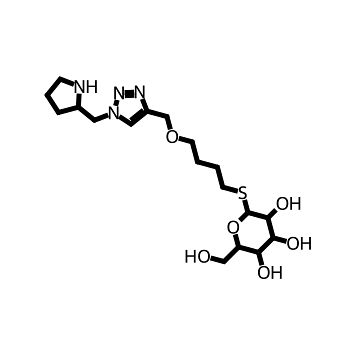 OCC1OC(SCCCCOCc2cn(CC3CCCN3)nn2)C(O)C(O)C1O